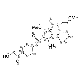 COCCn1c(=O)c2c(OC)c(C(=O)NC3CCN(C(=O)CO)CC3)n(C)c2c2ccccc21